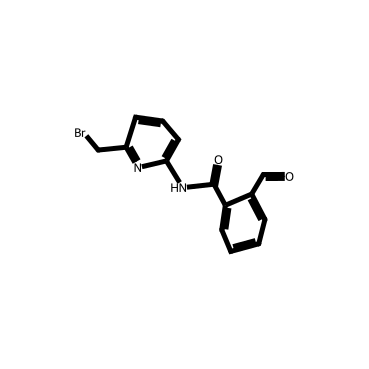 O=Cc1ccccc1C(=O)Nc1cccc(CBr)n1